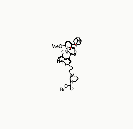 COc1ccc(CN2C3CC2CN(c2cnc(-c4cc(OC[C@@H]5CN(C(=O)OC(C)(C)C)CCO5)cn5ncc(C#N)c45)cn2)C3)cn1